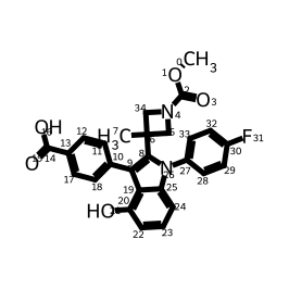 COC(=O)N1CC(C)(c2c(-c3ccc(C(=O)O)cc3)c3c(O)cccc3n2-c2ccc(F)cc2)C1